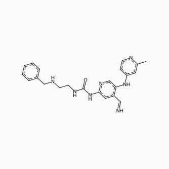 Cc1cc(Nc2cnc(NC(=O)NCCNCc3ccccc3)cc2C=N)ccn1